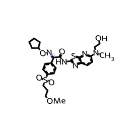 COCCCS(=O)(=O)c1ccc(/C(=N\OC2CCCC2)C(=O)Nc2nc3ccc(N(C)CCO)nc3s2)cc1